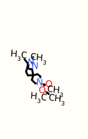 CCc1c2c(nn1C)C1(CC2)CCN(C(=O)OC(C)(C)C)CC1